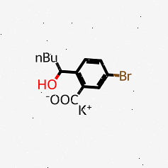 CCCCC(O)c1ccc(Br)cc1C(=O)[O-].[K+]